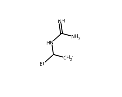 [CH2]C(CC)NC(=N)N